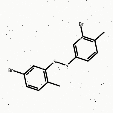 Cc1ccc(SSc2cc(Br)ccc2C)cc1Br